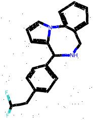 FC(F)Cc1ccc(C2NCc3ccccc3-n3cccc32)cc1